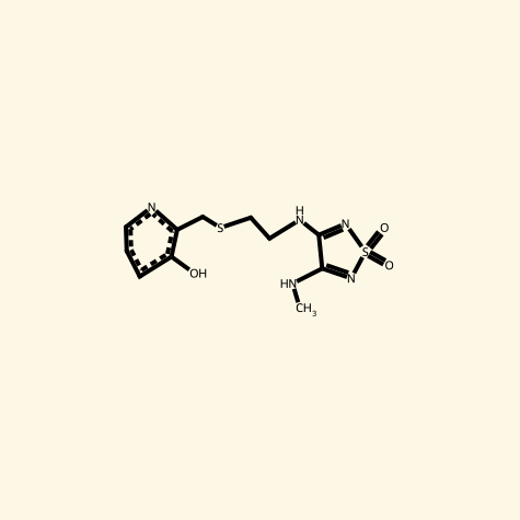 CNC1=NS(=O)(=O)N=C1NCCSCc1ncccc1O